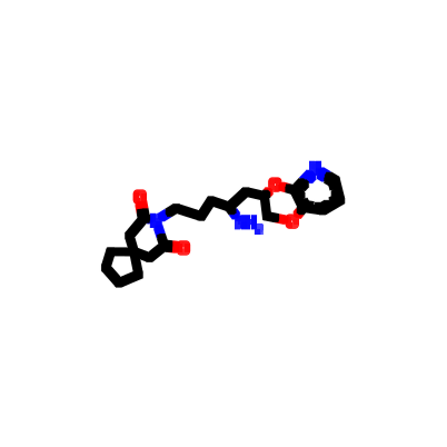 NC(CCCN1C(=O)CC2(CCCC2)CC1=O)CC1COc2cccnc2O1